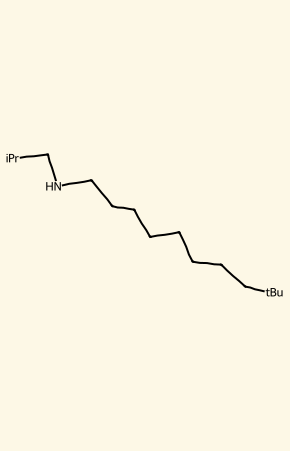 CC(C)CNCCCCCCCCC(C)(C)C